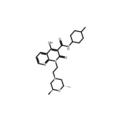 CC1CCC(NC(=O)c2c(O)c3cccnc3n(CCN3C[C@H](C)O[C@@H](C)C3)c2=O)CC1